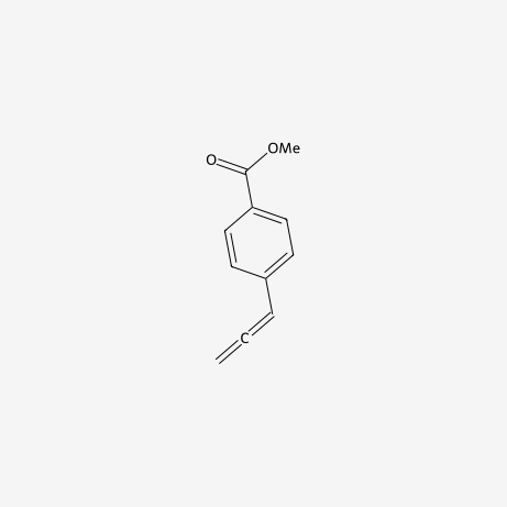 C=C=Cc1ccc(C(=O)OC)cc1